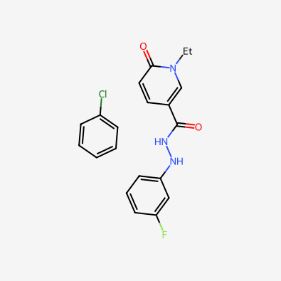 CCn1cc(C(=O)NNc2cccc(F)c2)ccc1=O.Clc1ccccc1